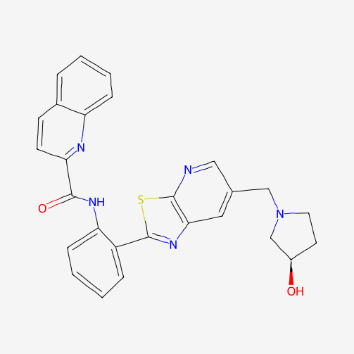 O=C(Nc1ccccc1-c1nc2cc(CN3CC[C@@H](O)C3)cnc2s1)c1ccc2ccccc2n1